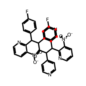 O=C(C(c1ccncc1)C(c1ccc(F)cc1)c1ncccc1[N+](=O)[O-])C(c1ccncc1)C(c1ccc(F)cc1)c1ncccc1[N+](=O)[O-]